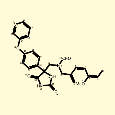 C=C(/C=C\C(=C/C)OC)CN(C=O)CC1(c2ccc(Oc3cccnc3)cc2)NC(=O)NC1=O